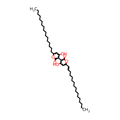 CCCCCCCCCCCCCCCC=Cc1cc(O)c(-c2c(O)cc(CCCCCCCCCCCCCCCCC)oc2=O)c(=O)o1